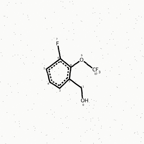 O[CH]c1cccc(F)c1OC(F)(F)F